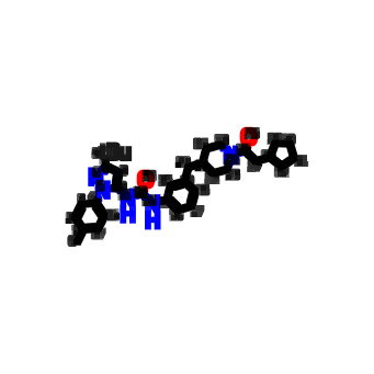 Cc1ccc(-n2nc(C(C)(C)C)cc2NC(=O)Nc2cccc(CC3CCN(C(=O)CC4CCCC4)CC3)c2)cc1